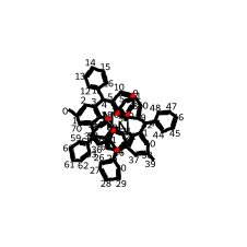 Cc1cc(C(c2ccccc2)c2ccccc2)c(N2C=CN(c3c(C(c4ccccc4)c4ccccc4)cc(C)cc3C(c3ccccc3)c3ccccc3)C2)c(C(c2ccccc2)c2ccccc2)c1